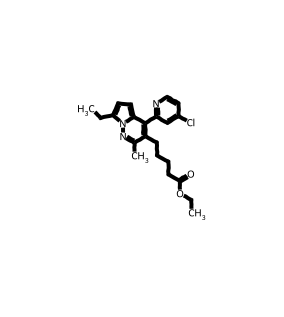 CCOC(=O)CCCCc1c(C)nn2c(CC)ccc2c1-c1cc(Cl)ccn1